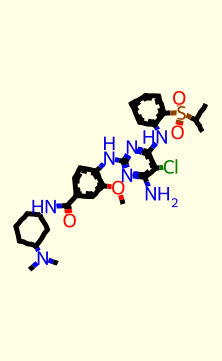 COc1cc(C(=O)NC2CCCC(N(C)C)C2)ccc1Nc1nc(N)c(Cl)c(Nc2ccccc2S(=O)(=O)C(C)C)n1